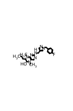 CCCC1C(O)N(C)c2cnc(NCc3cnn(Cc4ccc(F)cc4)c3)nc2N1C